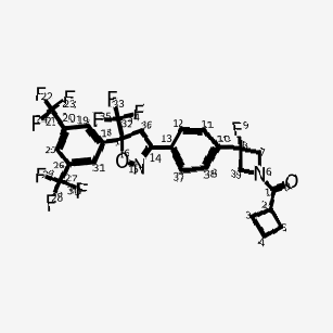 O=C(C1CCC1)N1CC(F)(c2ccc(C3=NOC(c4cc(C(F)(F)F)cc(C(F)(F)F)c4)(C(F)(F)F)C3)cc2)C1